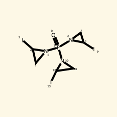 O=P(N1CC1I)(N1CC1I)N1CC1I